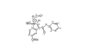 C=O.COc1ccc2c(c1)C(C(=O)Cc1cccnc1)=C[N+]2(C(=O)O)C(C)(C)C